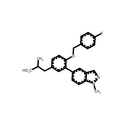 CC(Cc1ccc(OCc2ccc(F)cc2)c(-c2ccc3c(cnn3C)c2)c1)C(=O)O